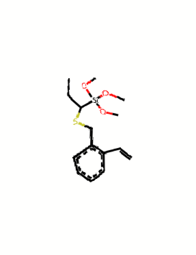 C=Cc1ccccc1CSC(CC)[Si](OC)(OC)OC